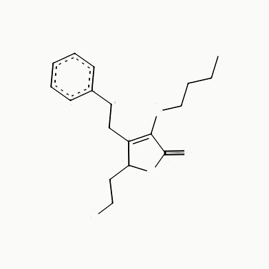 CCCCOC1=C(CCc2ccccc2)C(CCO)OC1=O